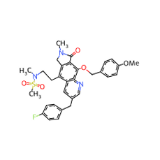 COc1ccc(COc2c3c(c(CCN(C)S(C)(=O)=O)c4cc(Cc5ccc(F)cc5)cnc24)CN(C)C3=O)cc1